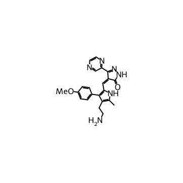 COc1ccc(-c2c(C=C3C(=O)NN=C3c3cnccn3)[nH]c(C)c2CCN)cc1